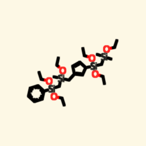 CCO[Si](C)(C)C[Si](OCC)(OCC)C1C=CC(C[Si](C)(C[Si](OCC)(OCC)c2ccccc2)OCC)=C1